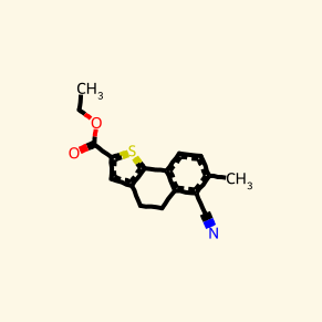 CCOC(=O)c1cc2c(s1)-c1ccc(C)c(C#N)c1CC2